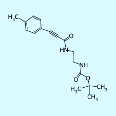 Cc1ccc(C#CC(=O)NCCNC(=O)OC(C)(C)C)cc1